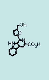 O=C(O)c1cc2c([nH]c3ccccc32)c(-c2ccc(CO)o2)n1